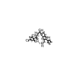 Cc1cc(Cl)nc(Cl)c1C(=O)NCC[C@@H](C)N1CCC(NC(C(=O)CO)c2ccsc2)CC1